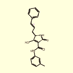 Cc1cccc(NC(=O)C2=C(O)C(C/C=C/c3ccccc3)NC2=O)c1